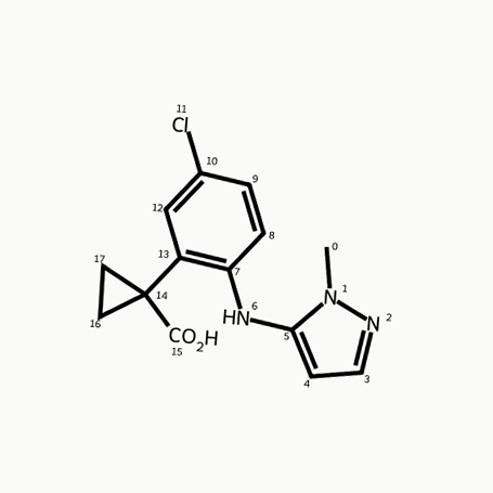 Cn1nccc1Nc1ccc(Cl)cc1C1(C(=O)O)CC1